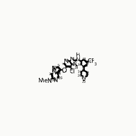 CNc1cn2ncc(Oc3cnc4nc(Nc5cc(C6CCN(C)CC6)cc(C(F)(F)F)c5)n(C)c4c3Cl)c2cn1